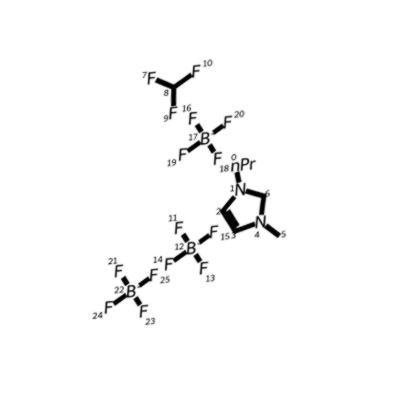 CCCN1C=CN(C)C1.FC(F)F.F[B-](F)(F)F.F[B-](F)(F)F.F[B-](F)(F)F